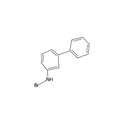 BrNc1cccc(-c2ccccc2)c1